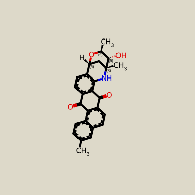 Cc1ccc2c3c(ccc2c1)C(=O)c1c(ccc2c1N[C@]1(C)C[C@H]2O[C@@H](C)[C@@H]1O)C3=O